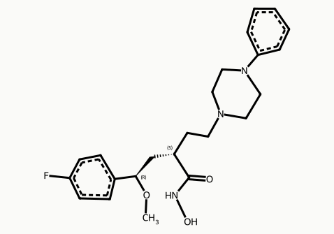 CO[C@H](C[C@H](CCN1CCN(c2ccccc2)CC1)C(=O)NO)c1ccc(F)cc1